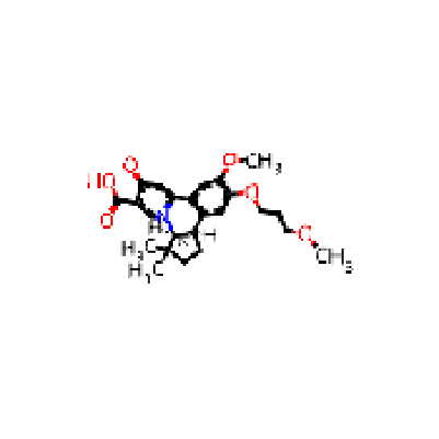 COCCCOc1cc2c(cc1OC)-c1cc(=O)c(C(=O)O)cn1[C@H]1[C@@H]2CCC1(C)C